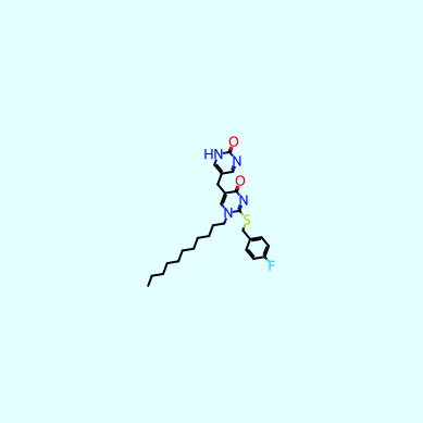 CCCCCCCCCCCn1cc(Cc2cnc(=O)[nH]c2)c(=O)nc1SCc1ccc(F)cc1